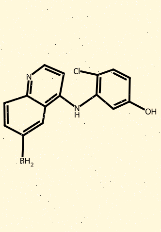 Bc1ccc2nccc(Nc3cc(O)ccc3Cl)c2c1